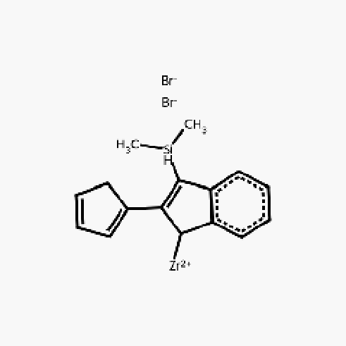 C[SiH](C)C1=C(C2=CC=CC2)[CH]([Zr+2])c2ccccc21.[Br-].[Br-]